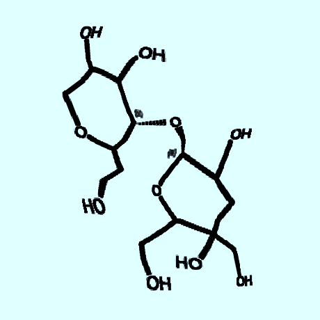 OCC1OCC(O)C(O)[C@@H]1O[C@@H]1OC(CO)C(O)(CO)CC1O